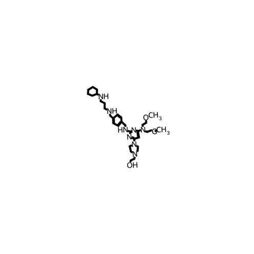 COCCN(CCOC)c1cc(N2CCN(CCO)CC2)nc(NCc2ccc(CNCCCNC3CCCCC3)cc2)n1